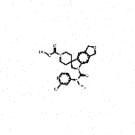 CN(C(=O)N1CC2(CCN(C(=O)OC(C)(C)C)CC2)c2cc3c(cc21)COC3)c1ccnc(Cl)c1